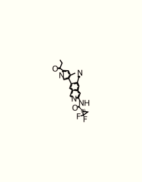 CCC(=O)c1cc(C)c(-c2cc3cnc(NC(=O)[C@H]4CC4(F)F)cc3cc2C#N)cn1